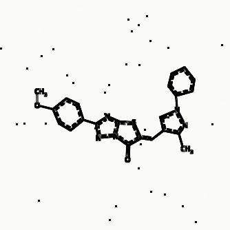 COc1ccc(-c2nc3s/c(=C\c4cn(-c5ccccc5)nc4C)c(=O)n3n2)cc1